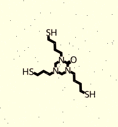 O=C1N(CCCCS)CN(CCCS)CN1CCCCS